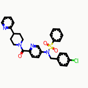 O=C(c1ccc(N(Cc2ccc(Cl)cc2)S(=O)(=O)c2ccccc2)cn1)N1CCC(c2ccccn2)CC1